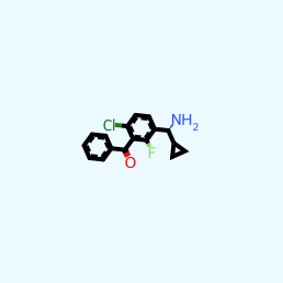 N[C@@H](c1ccc(Cl)c(C(=O)c2ccccc2)c1F)C1CC1